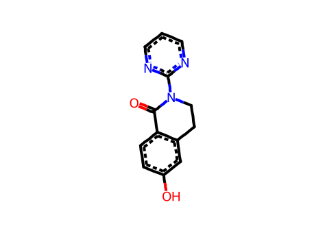 O=C1c2ccc(O)cc2CCN1c1ncccn1